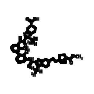 [2H]C([2H])([2H])n1c(C(=O)Nc2cccc(-c3cccc(NC(=O)c4nc5c(n4C([2H])([2H])[2H])CCN(CCC46CCC(C(=O)OC)(CC4)C6)C5)c3Cl)c2C)nc2c1CCN(C(=O)O)C2